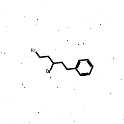 BrCCC(Br)CCc1ccccc1